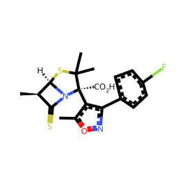 Cc1onc(-c2ccc(F)cc2)c1[C@@]1(C(=O)O)N2C(=S)[C@@H](C)[C@H]2SC1(C)C